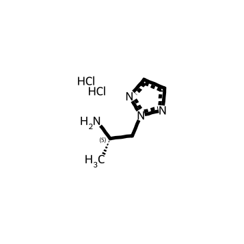 C[C@H](N)Cn1nccn1.Cl.Cl